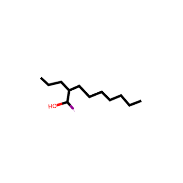 CCCCCCCC(CCC)C(O)I